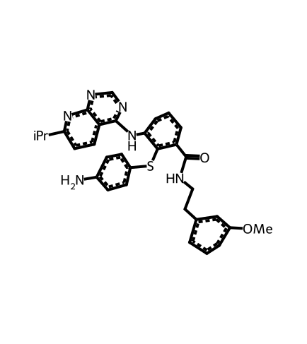 COc1cccc(CCNC(=O)c2cccc(Nc3ncnc4nc(C(C)C)ccc34)c2Sc2ccc(N)cc2)c1